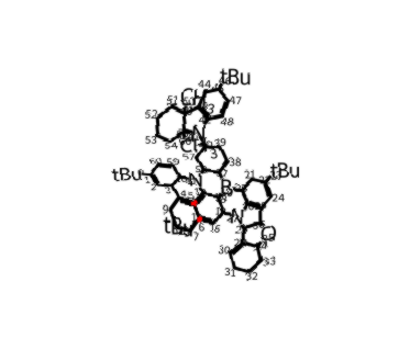 CC(C)(C)C1=CC(C2=CCCCC2)C(N2C3=CC(C(C)(C)C)=CC4C3B(C3CC(C(C)(C)C)=CC5=C3N4C3C4=CCCCC4OC53)C3CCC(N4C5=C(CC(C(C)(C)C)C=C5)C5(C)CCCCC45C)CC32)C=C1